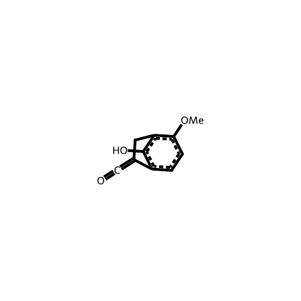 COc1ccc2c(O)c1CC2=C=O